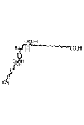 O=C(O)CCCCCCCCCCCCCCCCC(=O)N[C@@H](CCC(=O)N1CCC(NC(=O)NCCOCCOCC(=O)I)CC1)C(=O)O